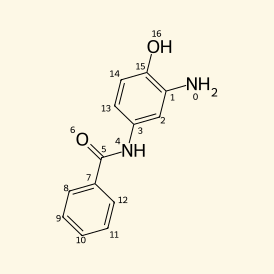 Nc1cc(NC(=O)c2ccccc2)ccc1O